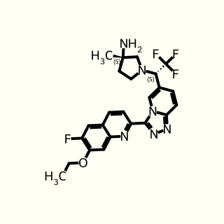 CCOc1cc2nc(-c3nnc4ccc([C@H](N5CC[C@](C)(N)C5)C(F)(F)F)cn34)ccc2cc1F